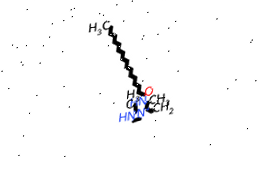 C=CC(C(C)NC(=O)CCCCCCCCCCCCCCCCC)[N+]1=C(CC)NCC1